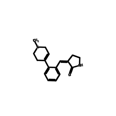 CN1CC=C(c2ccccc2C=C2CCNC2=O)CC1